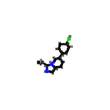 Cc1ncc2ccc(-c3ccc(Cl)cc3)cn12